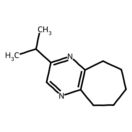 CC(C)c1cnc2c(n1)CCCCC2